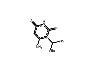 CCCCC(CCC)n1c(N)cc(=O)[nH]c1=O